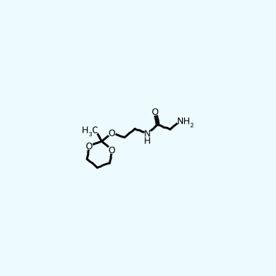 CC1(OCCNC(=O)CN)OCCCO1